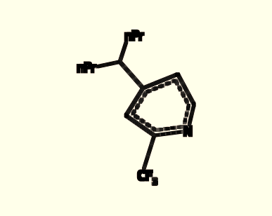 CCCC(CCC)c1ccnc(C(F)(F)F)c1